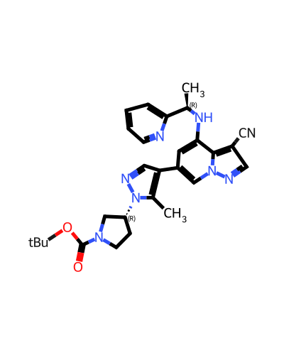 Cc1c(-c2cc(N[C@H](C)c3ccccn3)c3c(C#N)cnn3c2)cnn1[C@@H]1CCN(C(=O)OC(C)(C)C)C1